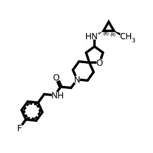 C[C@@H]1C[C@H]1NC1COC2(CCN(CC(=O)NCc3ccc(F)cc3)CC2)C1